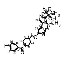 C[C@H]1Cn2nc(OCC3CCN(C(=O)c4ccc(F)cc4)CC3)cc2-c2cnc([C@@](C)(O)C(F)(F)F)n21